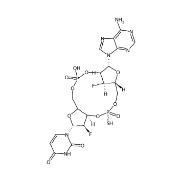 Nc1ncnc2c1ncn2[C@@H]1O[C@@H]2COP(=O)(S)O[C@@H]3C(COP(=O)(O)O[C@@H]1[C@@H]2F)O[C@@H](n1ccc(=O)[nH]c1=O)[C@@H]3F